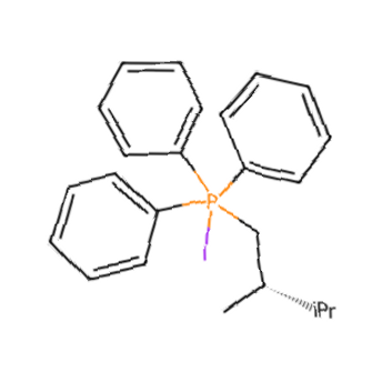 CC(C)[C@H](C)CP(I)(c1ccccc1)(c1ccccc1)c1ccccc1